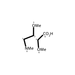 CNCCOC.COCC(=O)O